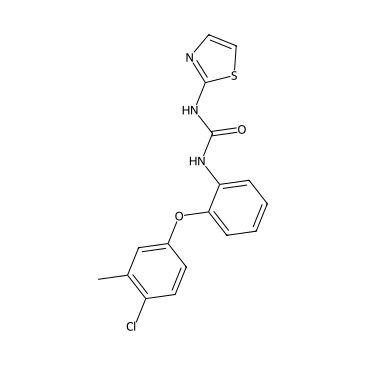 Cc1cc(Oc2ccccc2NC(=O)Nc2nccs2)ccc1Cl